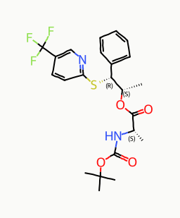 C[C@H](NC(=O)OC(C)(C)C)C(=O)O[C@@H](C)[C@H](Sc1ccc(C(F)(F)F)cn1)c1ccccc1